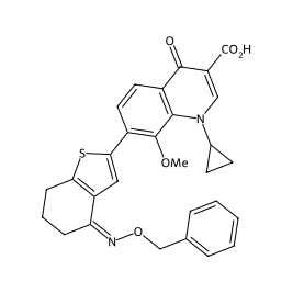 COc1c(-c2cc3c(s2)CCC/C3=N/OCc2ccccc2)ccc2c(=O)c(C(=O)O)cn(C3CC3)c12